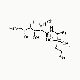 CCC(NC(=O)[C@H](O)[C@@H](O)[C@H](O)[C@H](O)CO)[N+](C)(C)CCO.[Cl-]